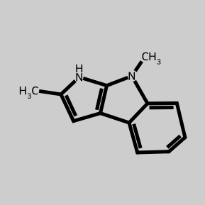 Cc1cc2c3ccccc3n(C)c2[nH]1